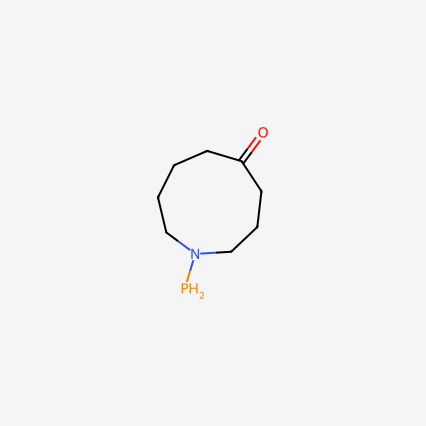 O=C1CCCCN(P)CCC1